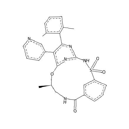 Cc1cccc(C)c1-c1nc2nc(c1-c1cccnc1)O[C@H](C)CNC(=O)c1cccc(c1)S(=O)(=O)N2